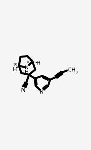 CC#Cc1cncc(C2(C#N)C[C@H]3CC[C@@H](C2)N3)c1